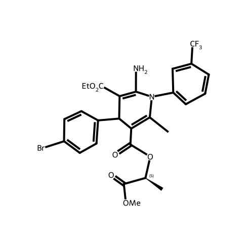 CCOC(=O)C1=C(N)N(c2cccc(C(F)(F)F)c2)C(C)=C(C(=O)O[C@@H](C)C(=O)OC)C1c1ccc(Br)cc1